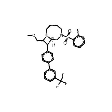 COCC1C(c2ccc(-c3cccc(C(F)(F)F)c3)cc2)[C@@H]2CN(S(=O)(=O)c3ccccc3C)CCCCN12